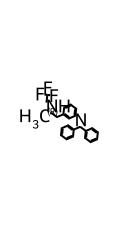 C[C@H](Cc1cccc(N=C(c2ccccc2)c2ccccc2)c1)NCC(F)(F)F